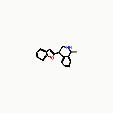 CC1NCC(c2cc3ccccc3o2)c2ccccc21